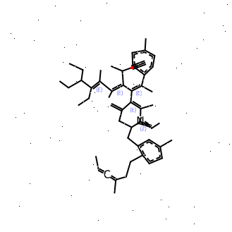 C#CC(C)C(=C(C)\C(C)=C(/CC)C(CC)CC)/C(C(/C(=C)CC(Cc1cc(C)ccc1CCC(C)=C=CC)C(=C)C)=C(C)/N=C\C)=C(/C)c1ccc(C)cc1